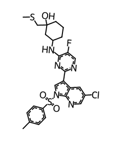 CSCC1(O)CCCC(Nc2nc(-c3cn(S(=O)(=O)c4ccc(C)cc4)c4ncc(Cl)cc34)ncc2F)C1